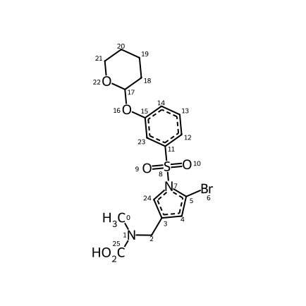 CN(Cc1cc(Br)n(S(=O)(=O)c2cccc(OC3CCCCO3)c2)c1)C(=O)O